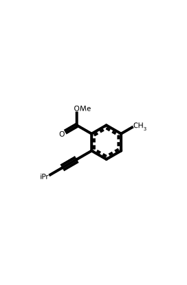 COC(=O)c1cc(C)ccc1C#CC(C)C